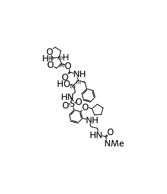 CNC(=O)NCCNc1cccc(S(=O)(=O)NC[C@@H](O)[C@H](Cc2ccccc2)NC(=O)O[C@H]2CO[C@H]3OCC[C@H]32)c1OC1CCCC1